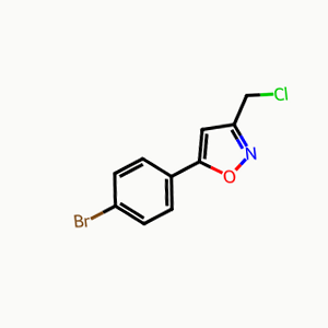 ClCc1cc(-c2ccc(Br)cc2)on1